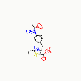 CCc1nc(Cc2ccc(NC(C)=O)cc2)c(C(=O)O)s1